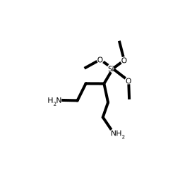 CO[Si](OC)(OC)C(CCN)CCN